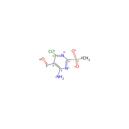 CS(=O)(=O)c1nc(N)c(C=O)c(Cl)n1